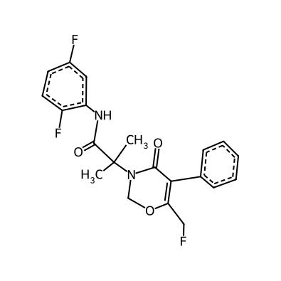 CC(C)(C(=O)Nc1cc(F)ccc1F)N1COC(CF)=C(c2ccccc2)C1=O